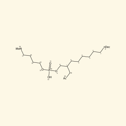 CCCCCCCCCCCCCCCCC(COP(=O)(O)OCCCCNC)CC(C)=O